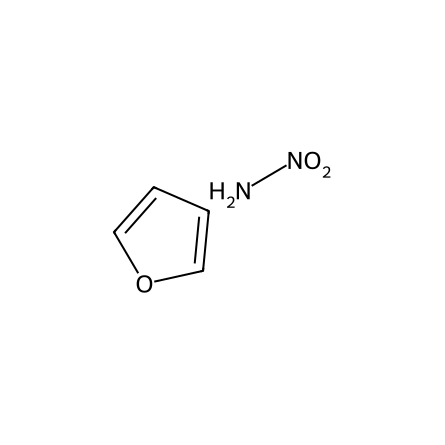 N[N+](=O)[O-].c1ccoc1